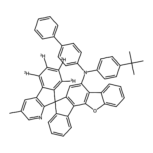 [2H]c1c([2H])c([2H])c2c(c1[2H])-c1cc(C)cnc1C21c2ccccc2-c2c1cc(N(c1ccc(-c3ccccc3)cc1)c1ccc(C(C)(C)C)cc1)c1c2oc2ccccc21